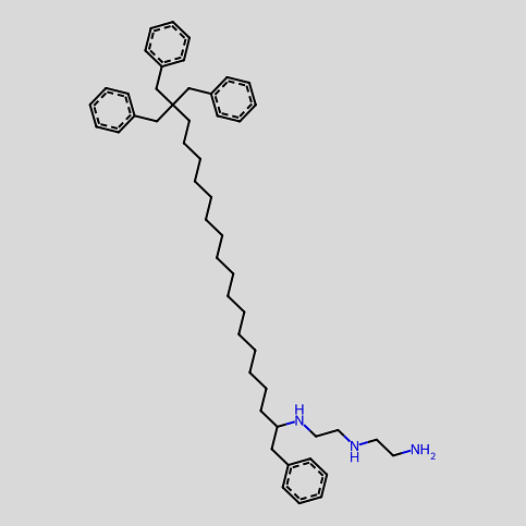 NCCNCCNC(CCCCCCCCCCCCCCCCC(Cc1ccccc1)(Cc1ccccc1)Cc1ccccc1)Cc1ccccc1